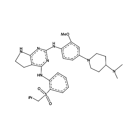 COc1cc(N2CCC(N(C)C)CC2)ccc1Nc1nc2c(c(Nc3ccccc3S(=O)(=O)CC(C)C)n1)CCN2